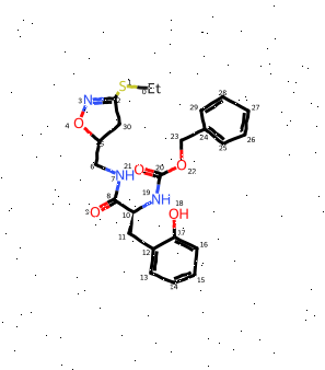 CCSC1=NOC(CNC(=O)[C@H](Cc2ccccc2O)NC(=O)OCc2ccccc2)C1